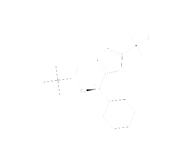 CC(C)(C)[S+]([O-])N[C@@H](c1ccc(C(F)(F)F)s1)C1CCCCC1